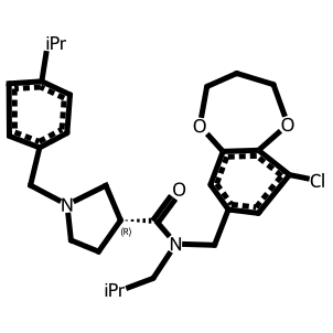 CC(C)CN(Cc1cc(Cl)c2c(c1)OCCCO2)C(=O)[C@@H]1CCN(Cc2ccc(C(C)C)cc2)C1